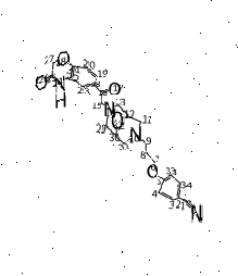 N#Cc1ccc(OCCCN2CC3CN(CC(=O)c4ccc5c(c4)NC(=O)CO5)CC(C2)O3)cc1